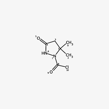 CC1(C)CC(=O)NN1C(=O)Cl